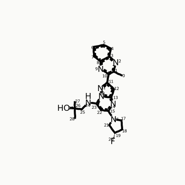 Cc1nc2ccccc2nc1-c1cc2nc(N3CC[C@H](F)C3)cc(NCC(C)(C)O)n2n1